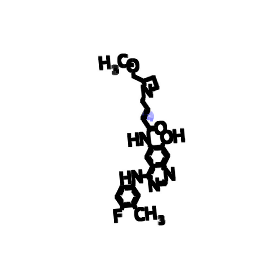 COCC1CCN1C/C=C/C(=O)Nc1cc2c(Nc3ccc(F)c(C)c3)ncnc2cc1O